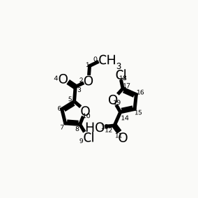 CCOC(=O)c1ccc(Cl)o1.O=C(O)c1ccc(Cl)o1